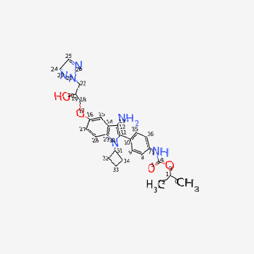 CC(C)OC(=O)Nc1ccc(-c2c(N)c3cc(OCC(O)Cn4nccn4)ccc3n2C2CCC2)cc1